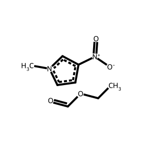 CCOC=O.Cn1ccc([N+](=O)[O-])c1